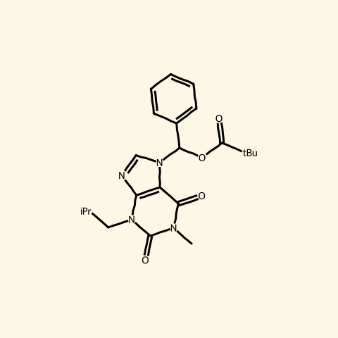 CC(C)Cn1c(=O)n(C)c(=O)c2c1ncn2C(OC(=O)C(C)(C)C)c1ccccc1